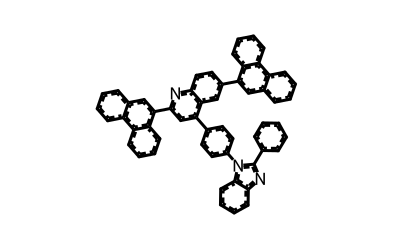 c1ccc(-c2nc3ccccc3n2-c2ccc(-c3cc(-c4cc5ccccc5c5ccccc45)nc4ccc(-c5cc6ccccc6c6ccccc56)cc34)cc2)cc1